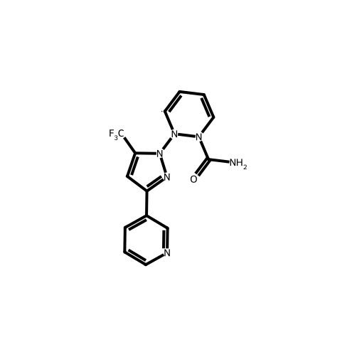 NC(=O)N1C=CC=[C]N1n1nc(-c2cccnc2)cc1C(F)(F)F